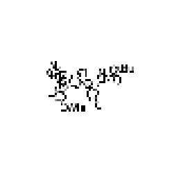 COc1ccc(CN(c2ncns2)S(=O)(=O)c2ccc(Oc3ccc(Cl)cc3-c3cnn(C(=O)OC(C)(C)C)c3)c(Cl)c2)c(C)c1